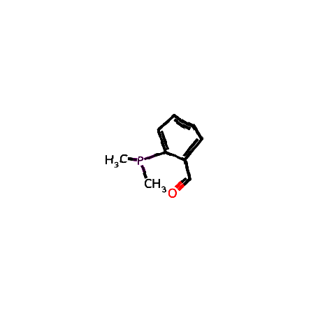 CP(C)c1ccccc1C=O